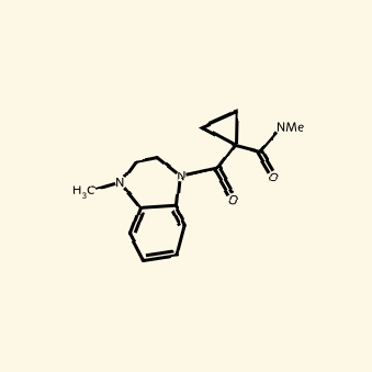 CNC(=O)C1(C(=O)N2CCN(C)c3ccccc32)CC1